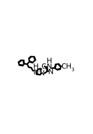 Cc1ccc(-c2nc(CN3CCN(CCCC(c4ccccc4)c4ccccc4)CC3)c(C)[nH]2)cc1